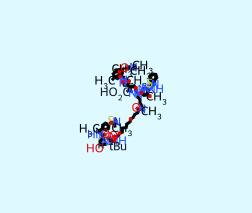 Cc1cc(N(CCCCN(C)C(=O)CCCCCCCCCCCC(=O)N[C@H](C(=O)N2C[C@H](O)C[C@H]2C(=O)N[C@@H](C)c2ccc(-c3scnc3C)cc2)C(C)(C)C)c2ccc(-c3cnn(CC45CC6(C)CC(C)(C4)CC(OCCN(C)C)(C6)C5)c3C)c(C(=O)O)n2)nnc1Nc1nc2ccccc2s1